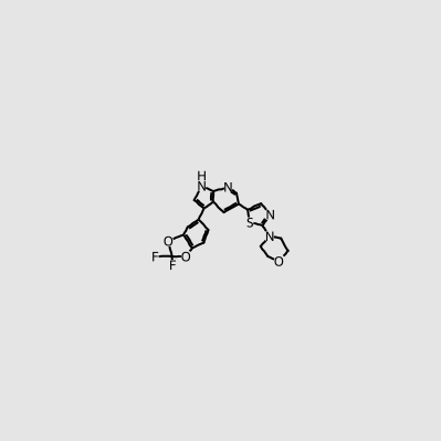 FC1(F)Oc2ccc(-c3c[nH]c4ncc(-c5cnc(N6CCOCC6)s5)cc34)cc2O1